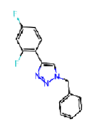 Fc1ccc(-c2cn(Cc3ccccc3)nn2)c(F)c1